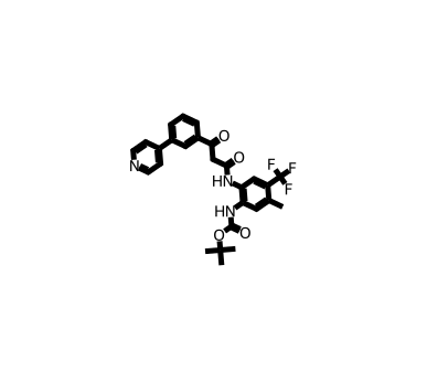 Cc1cc(NC(=O)OC(C)(C)C)c(NC(=O)CC(=O)c2cccc(-c3ccncc3)c2)cc1C(F)(F)F